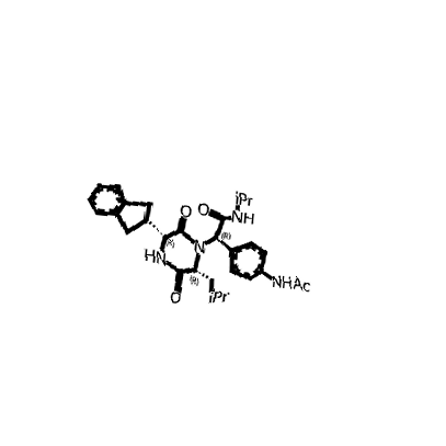 CC(=O)Nc1ccc([C@H](C(=O)NC(C)C)N2C(=O)[C@@H](C3Cc4ccccc4C3)NC(=O)[C@H]2CC(C)C)cc1